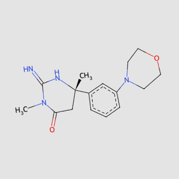 CN1C(=N)N[C@](C)(c2cccc(N3CCOCC3)c2)CC1=O